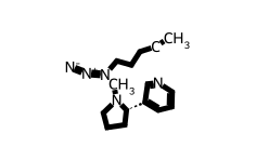 CCCCCN=[N+]=[N-].CN1CCC[C@H]1c1cccnc1